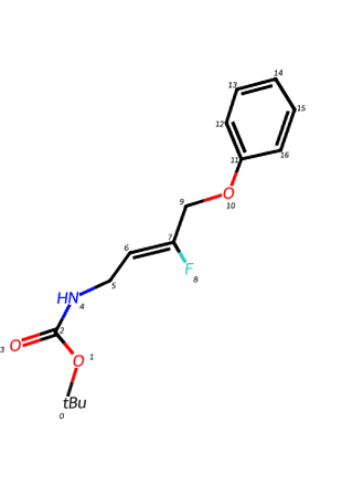 CC(C)(C)OC(=O)NCC=C(F)COc1ccccc1